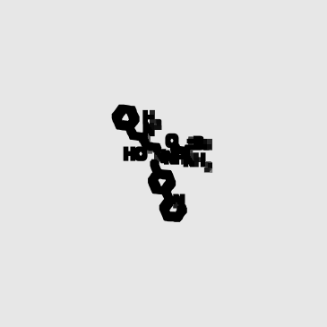 CC(C)(C)[C@@H](N)C(=O)NN(Cc1ccc(-c2ccccn2)cc1)C[C@@H](O)[C@@H](N)Cc1ccccc1